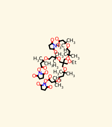 CCOCC(COC(C)(C)CCOC(C)(C)CC(=O)ON1C(=O)CCC1=O)(COC(C)(C)CCOC(C)(C)CC(=O)ON1C(=O)CCC1=O)COC(C)(C)CCOC(C)(C)CC(=O)ON1C(=O)CCC1=O